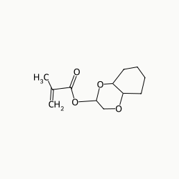 C=C(C)C(=O)OC1COC2CCCCC2O1